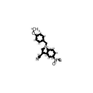 COc1ccc(Cn2cc(C#N)c3cc([N+](=O)[O-])ccc32)cc1